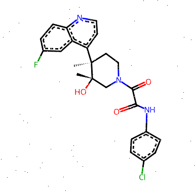 C[C@]1(O)CN(C(=O)C(=O)Nc2ccc(Cl)cc2)CC[C@]1(C)c1ccnc2ccc(F)cc12